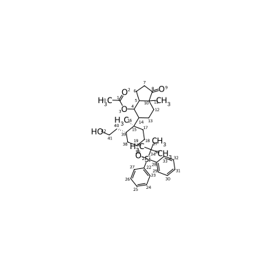 CC(=O)OC1C2CCC(=O)C2(C)CCC1[C@@]1(C)CC[C@H](O[Si](c2ccccc2)(c2ccccc2)C(C)(C)C)C[C@@H]1CCO